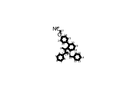 Cc1c(-c2ccccc2)n(Cc2ccccc2)c2cccc(-c3ccc(OCC#N)cc3)c12